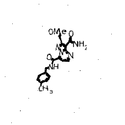 COCc1nn2c(C(=O)NCc3ccc(C)cc3)ccnc2c1C(N)=O